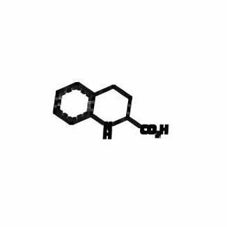 O=C(O)C1CCc2ccccc2N1